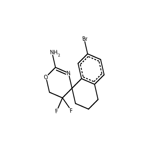 NC1=NC2(CCCc3ccc(Br)cc32)C(F)(F)CO1